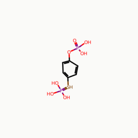 O=P(O)(O)Oc1ccc([SH]=P(O)(O)O)cc1